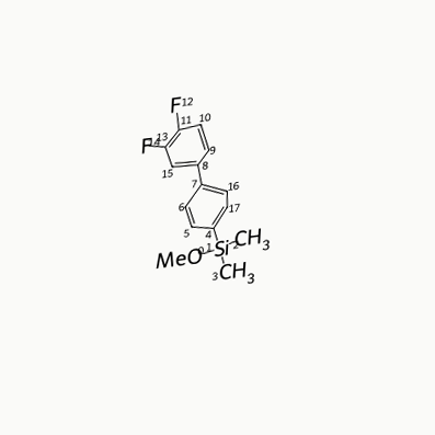 CO[Si](C)(C)c1ccc(-c2ccc(F)c(F)c2)cc1